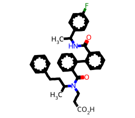 CC(NC(=O)c1ccccc1-c1ccccc1C(=O)N(CCC(=O)O)C(C)CCc1ccccc1)c1ccc(F)cc1